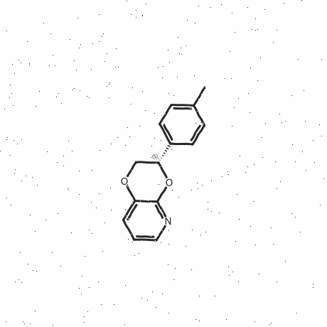 Cc1ccc([C@H]2COc3cccnc3O2)cc1